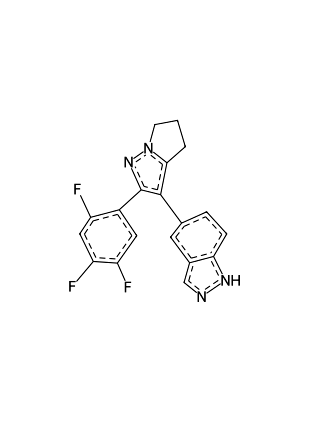 Fc1cc(F)c(-c2nn3c(c2-c2ccc4[nH]ncc4c2)CCC3)cc1F